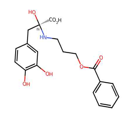 O=C(OCCCN[C@](O)(Cc1ccc(O)c(O)c1)C(=O)O)c1ccccc1